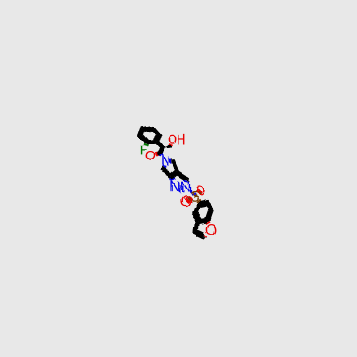 O=C([C@H](CO)c1ccccc1F)N1Cc2cn(S(=O)(=O)c3ccc4occc4c3)nc2C1